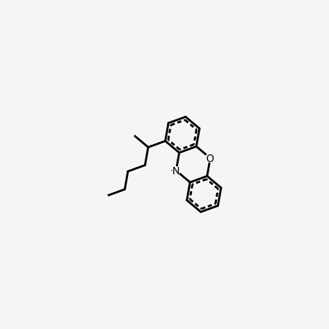 CCCCC(C)c1cccc2c1[N]c1ccccc1O2